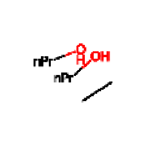 CC.CCCO.CCCO